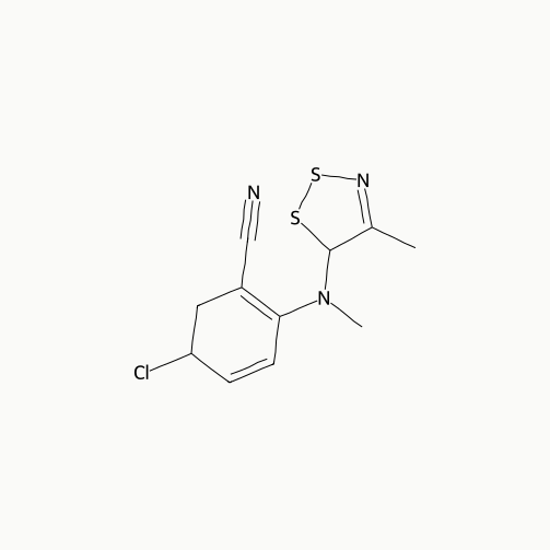 CC1=NSSC1N(C)C1=C(C#N)CC(Cl)C=C1